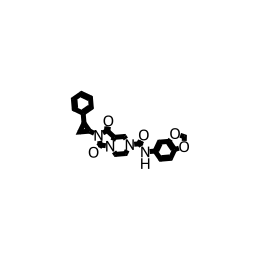 O=C(Nc1ccc2c(c1)OCO2)N1CCN2C(=O)N(C3CC3c3ccccc3)C(=O)C2C1